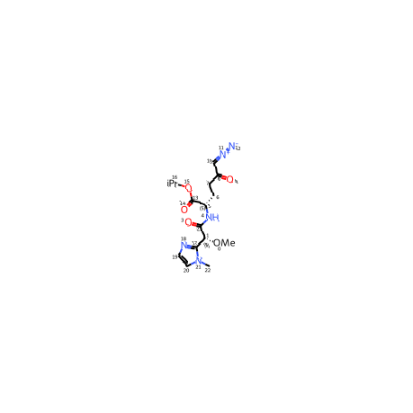 CO[C@@H](C(=O)N[C@@H](CCC(=O)C=[N+]=[N-])C(=O)OC(C)C)c1nccn1C